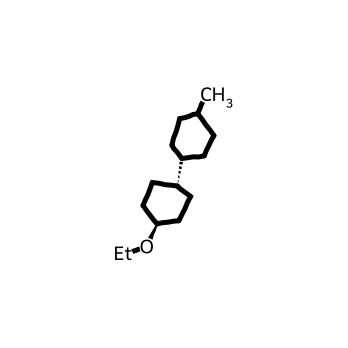 CCO[C@H]1CC[C@H](C2CCC(C)CC2)CC1